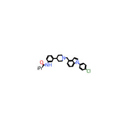 CC(C)C(=O)Nc1cccc(C2CCN(Cc3cccc4c3ccn4-c3ccc(Cl)cc3)CC2)c1